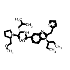 CCC(CC)n1c(Cc2cccs2)nc2cc(C(=O)N[C@@H](CC(C)C)C(=O)N3CCCC3COC)ccc21